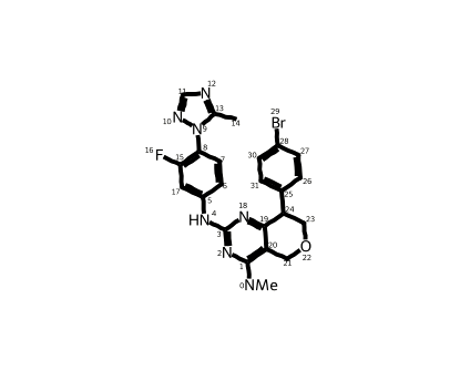 CNc1nc(Nc2ccc(-n3ncnc3C)c(F)c2)nc2c1COCC2c1ccc(Br)cc1